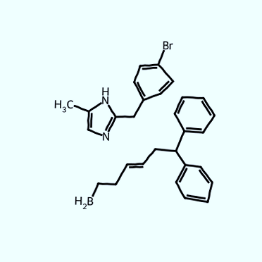 BCCC=CCC(c1ccccc1)c1ccccc1.Cc1cnc(Cc2ccc(Br)cc2)[nH]1